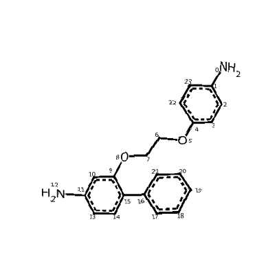 Nc1ccc(OCCOc2cc(N)ccc2-c2ccccc2)cc1